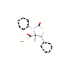 COC(=O)C1(C)C(c2ccccc2)OC(=O)N1c1ccccc1